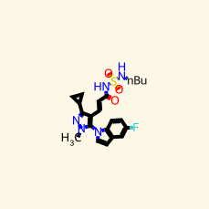 CCCCNS(=O)(=O)NC(=O)/C=C/c1c(C2CC2)nn(C)c1-n1ccc2cc(F)ccc21